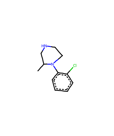 CC1CNCCN1c1ccccc1Cl